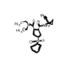 CCN(CC)C(=O)[C@@H]1C[C@H](S(=O)(=O)c2ccccc2)C[C@H]1C(=O)NC1(C#N)CC1